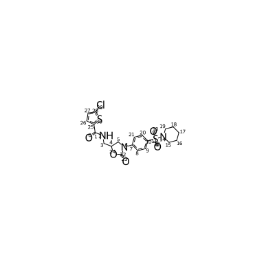 O=C(NCC1CN(c2ccc(S(=O)(=O)N3CCCCC3)cc2)C(=O)O1)c1ccc(Cl)s1